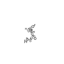 Nc1c(Oc2ccc(F)cc2)ncn(CC2(O)CCN(C(=O)[C@@H]3CCN(C(=O)c4cncc(C(F)(F)F)c4)C[C@H]3c3ccccc3)CC2)c1=O